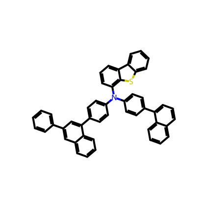 c1ccc(-c2cc(-c3ccc(N(c4ccc(-c5cccc6ccccc56)cc4)c4cccc5c4sc4ccccc45)cc3)c3ccccc3c2)cc1